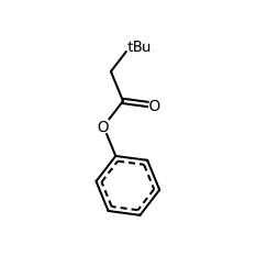 CC(C)(C)CC(=O)Oc1ccccc1